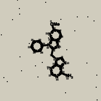 COc1ccc2nc(Cn3cnc4c(N)ncnc43)n(-c3ccccc3)c2n1